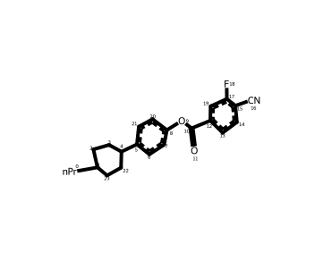 CCCC1CCC(c2ccc(OC(=O)c3ccc(C#N)c(F)c3)cc2)CC1